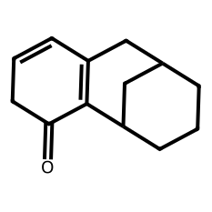 O=C1CC=CC2=C1C1CCCC(C2)C1